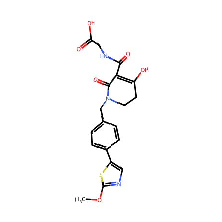 COc1ncc(-c2ccc(CN3CCC(O)=C(C(=O)NCC(=O)O)C3=O)cc2)s1